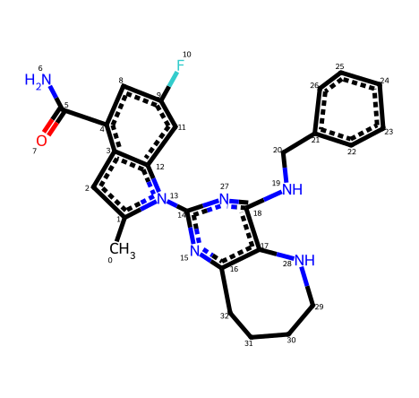 Cc1cc2c(C(N)=O)cc(F)cc2n1-c1nc2c(c(NCc3ccccc3)n1)NCCCC2